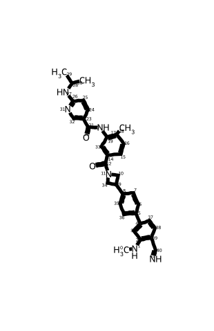 CNc1cc(-c2ccc(C3CN(C(=O)c4ccc(C)c(NC(=O)c5ccc(NC(C)C)nc5)c4)C3)cc2)ccc1C=N